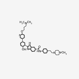 CN(C)CCCOc1ccc(-c2ccc(O)c(-c3nc4ccc(C(=O)Nc5ccc(CCN6CCN(C)CC6)cc5)cc4[nH]3)c2)cn1